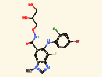 Cn1cnc2c(F)c(Nc3ccc(Br)cc3Cl)c(C(=O)NOCC(O)CO)cc21